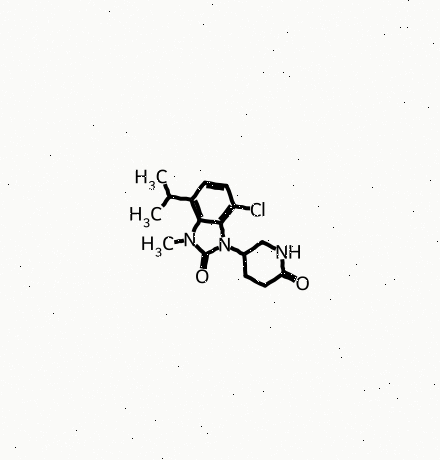 CC(C)c1ccc(Cl)c2c1n(C)c(=O)n2C1CCC(=O)NC1